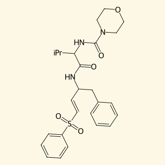 CC(C)C(NC(=O)N1CCOCC1)C(=O)NC(C=CS(=O)(=O)c1ccccc1)Cc1ccccc1